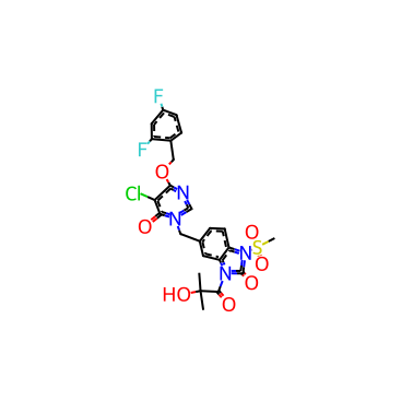 CC(C)(O)C(=O)n1c(=O)n(S(C)(=O)=O)c2ccc(Cn3cnc(OCc4ccc(F)cc4F)c(Cl)c3=O)cc21